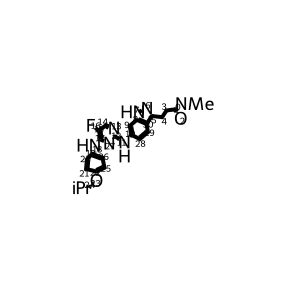 CNC(=O)CCc1n[nH]c2cc(Nc3ncc(F)c(Nc4ccc(OC(C)C)cc4)n3)ccc12